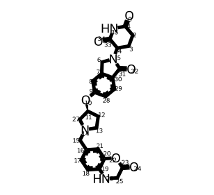 O=C1CCC(N2Cc3cc(O[C@H]4CCN(Cc5ccc6c(c5)OC(=O)CN6)C4)ccc3C2=O)C(=O)N1